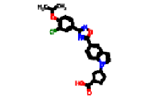 CC(C)Oc1ccc(-c2noc(-c3ccc4c(ccn4[C@H]4CCC(C(=O)O)C4)c3)n2)cc1Cl